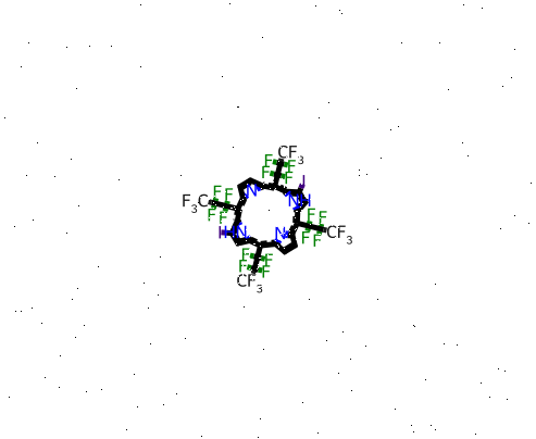 FC(F)(F)C(F)(F)C(F)(F)c1c2nc(c(C(F)(F)C(F)(F)C(F)(F)F)c3cc(I)c([nH]3)c(C(F)(F)C(F)(F)C(F)(F)F)c3nc(c(C(F)(F)C(F)(F)C(F)(F)F)c4[nH]c1cc4I)C=C3)C=C2